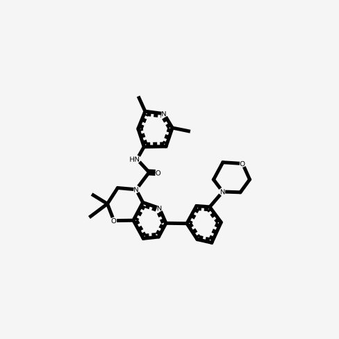 Cc1cc(NC(=O)N2CC(C)(C)Oc3ccc(-c4cccc(N5CCOCC5)c4)nc32)cc(C)n1